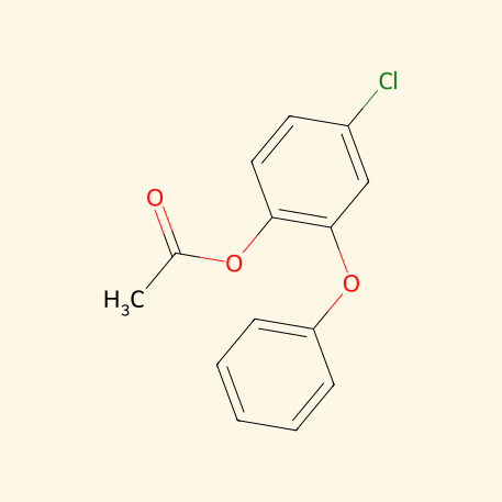 CC(=O)Oc1ccc(Cl)cc1Oc1ccccc1